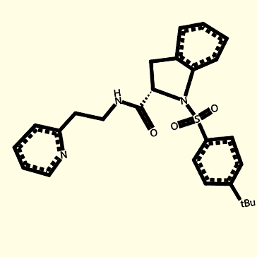 CC(C)(C)c1ccc(S(=O)(=O)N2c3ccccc3C[C@H]2C(=O)NCCc2ccccn2)cc1